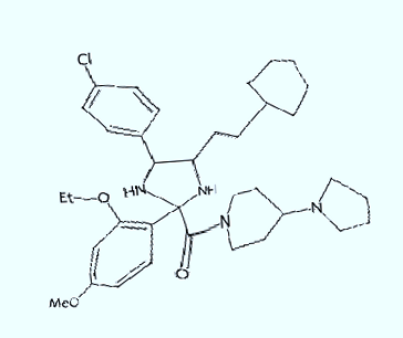 CCOc1cc(OC)ccc1C1(C(=O)N2CCC(N3CCCC3)CC2)NC(CCC2CCCCC2)C(c2ccc(Cl)cc2)N1